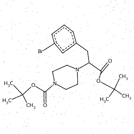 CC(C)(C)OC(=O)C(Cc1cccc(Br)c1)N1CCN(C(=O)OC(C)(C)C)CC1